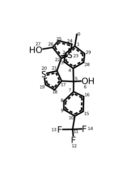 Cc1ccc(C(O)(c2ccc(C(F)(F)F)cc2)c2ccsc2-c2sccc2O)cc1